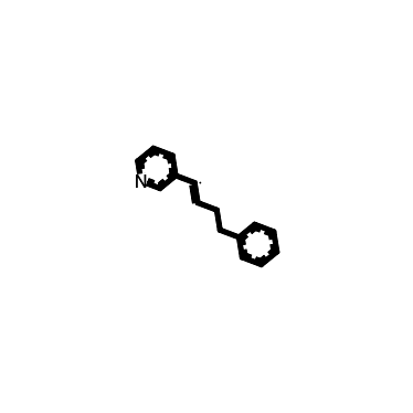 [C](=CCCc1ccccc1)c1cccnc1